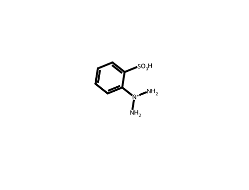 N[N+](N)c1ccccc1S(=O)(=O)O